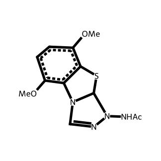 COc1ccc(OC)c2c1SC1N(NC(C)=O)N=CN21